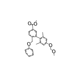 COCOc1cc(C)c(-c2cc(C(=O)OC)ccc2COc2ccccc2)c(C)c1